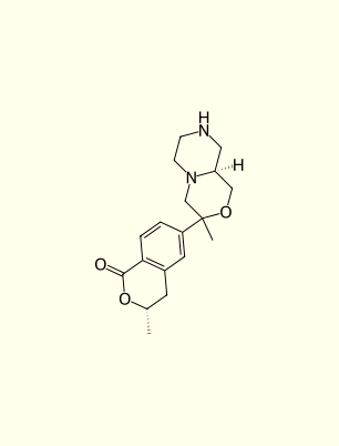 C[C@H]1Cc2cc(C3(C)CN4CCNC[C@H]4CO3)ccc2C(=O)O1